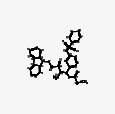 COC(=O)CC(c1cccc(OS(=O)(=O)c2ccccc2)c1)C(N)C(=O)OCC1c2ccccc2-c2ccccc21